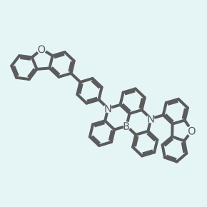 c1ccc2c(c1)B1c3ccccc3N(c3cccc4oc5ccccc5c34)c3cccc(c31)N2c1ccc(-c2ccc3oc4ccccc4c3c2)cc1